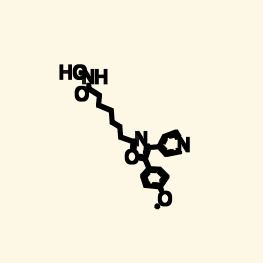 COc1ccc(-c2oc(CCCCCCC(=O)NO)nc2-c2ccncc2)cc1